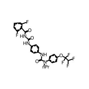 CCCN(C(=O)Nc1ccc(NC(=O)NC(=O)c2c(F)cccc2F)cc1)c1ccc(OC(F)(F)C(F)F)cc1